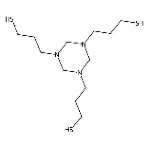 SCCCN1CN(CCCS)CN(CCCS)C1